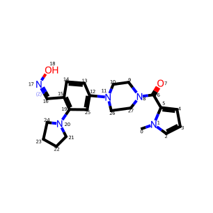 Cn1cccc1C(=O)N1CCN(c2ccc(/C=N\O)c(N3CCCC3)c2)CC1